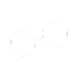 C1=CCCCC(C2CCCC=CCCCC2)CCCC1